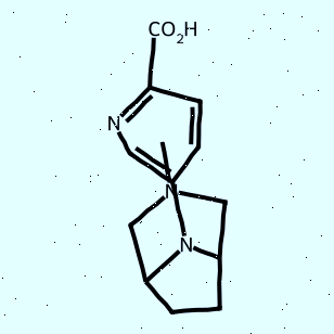 CN1CC2CCC(C1)N2c1ccc(C(=O)O)nc1